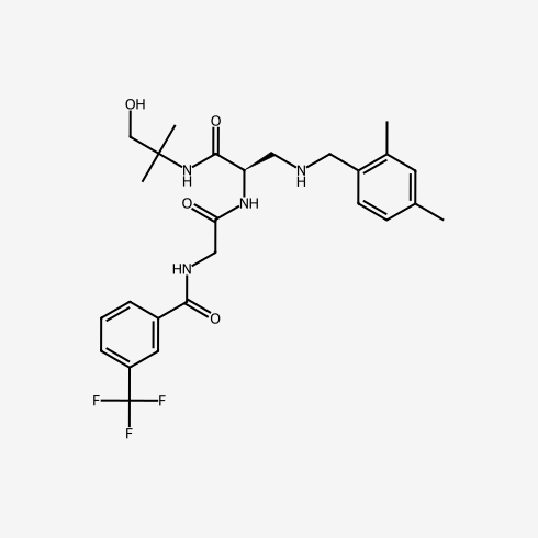 Cc1ccc(CNC[C@@H](NC(=O)CNC(=O)c2cccc(C(F)(F)F)c2)C(=O)NC(C)(C)CO)c(C)c1